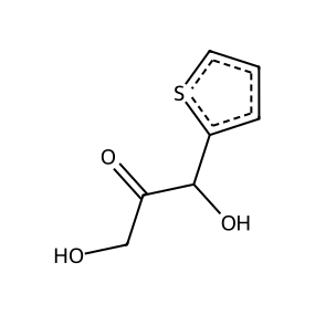 O=C(CO)C(O)c1cccs1